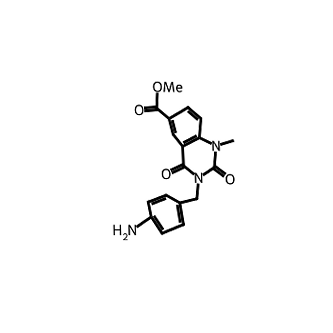 COC(=O)c1ccc2c(c1)c(=O)n(Cc1ccc(N)cc1)c(=O)n2C